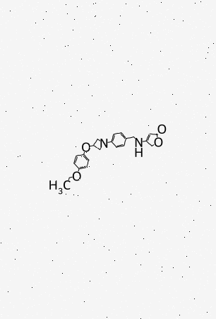 CCOc1ccc(OC2CN(c3ccc(CNC4=CC(=O)OC4)cc3)C2)cc1